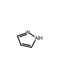 C1=[CH][AlH][N]=C1